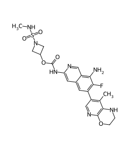 CNS(=O)(=O)N1CC(OC(=O)Nc2cc3cc(-c4cnc5c(c4C)NCCO5)c(F)c(N)c3cn2)C1